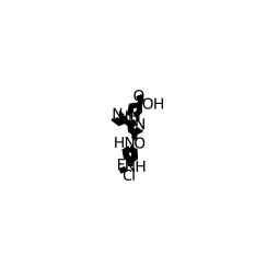 CC(F)(Cl)Nc1ccc(NC(=O)c2cnc(N3CCC(C(=O)O)C3)c(-c3ccn[nH]3)c2)cc1